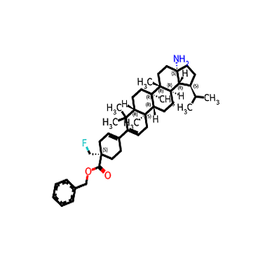 CC(C)[C@@H]1CC[C@]2(N)CC[C@]3(C)[C@H](CC[C@@H]4[C@@]5(C)CC=C(C6=CC[C@](CF)(C(=O)OCc7ccccc7)CC6)C(C)(C)[C@@H]5CC[C@]43C)[C@@H]12